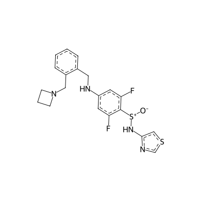 [O-][S+](Nc1cscn1)c1c(F)cc(NCc2ccccc2CN2CCC2)cc1F